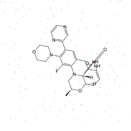 C[C@H]1CN2c3c(cc(-c4cnccn4)c(N4CCOCC4)c3F)CC34C(=O)NC(=O)NC3=CC[C@@H](O1)[C@H]24